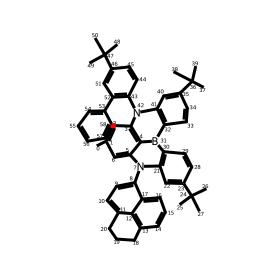 Cc1cc2c3c(c1)N(c1ccc4c5c(cccc15)CCC4)c1cc(C(C)(C)C)ccc1B3c1ccc(C(C)(C)C)cc1N2c1ccc(C(C)(C)C)cc1-c1ccccc1